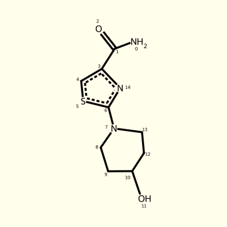 NC(=O)c1csc(N2CCC(O)CC2)n1